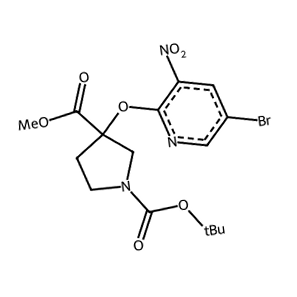 COC(=O)C1(Oc2ncc(Br)cc2[N+](=O)[O-])CCN(C(=O)OC(C)(C)C)C1